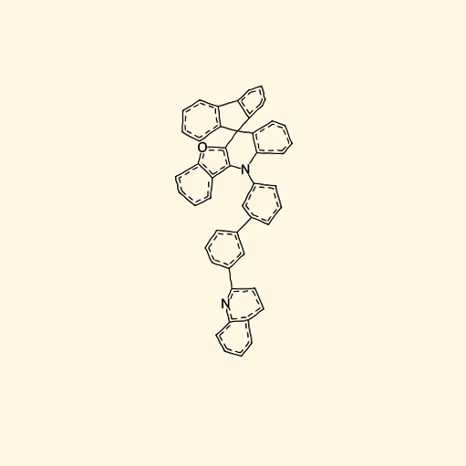 c1cc(-c2cccc(N3c4ccccc4C4(c5ccccc5-c5ccccc54)c4oc5ccccc5c43)c2)cc(-c2ccc3ccccc3n2)c1